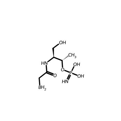 BCC(=O)N[C@@H](CO)[C@H](C)OP(=N)(O)O